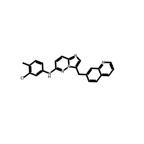 Cc1ccc(Nc2ccc3ncc(Cc4ccc5cccnc5c4)n3n2)cc1Cl